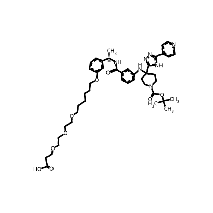 C[C@@H](NC(=O)c1cccc(NC2(c3nnc(-c4ccncc4)[nH]3)CCN(C(=O)OC(C)(C)C)CC2)c1)c1cccc(OCCCCCCOCCOCCOCCC(=O)O)c1